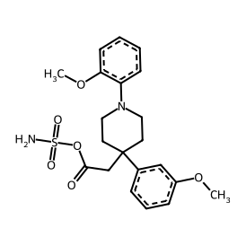 COc1cccc(C2(CC(=O)OS(N)(=O)=O)CCN(c3ccccc3OC)CC2)c1